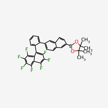 CC1(C)OB(c2ccc3cc(-c4ccccc4-c4c(F)c(F)c(F)c5c(F)c(F)c(F)c(F)c45)ccc3c2)OC1(C)C